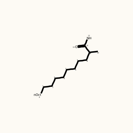 CCCCCCCCCCCCCCCCC(C)C([NH])=O